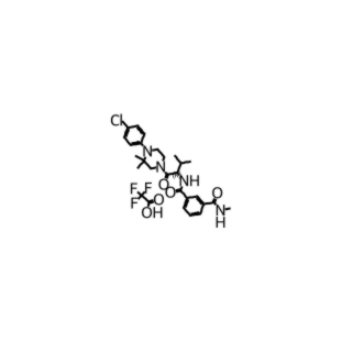 CNC(=O)c1cccc(C(=O)N[C@@H](C(=O)N2CCN(c3ccc(Cl)cc3)C(C)(C)C2)C(C)C)c1.O=C(O)C(F)(F)F